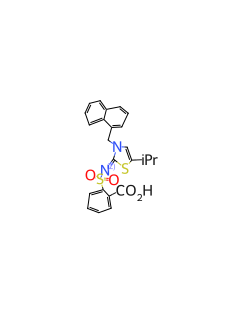 CC(C)c1cn(Cc2cccc3ccccc23)/c(=N/S(=O)(=O)c2ccccc2C(=O)O)s1